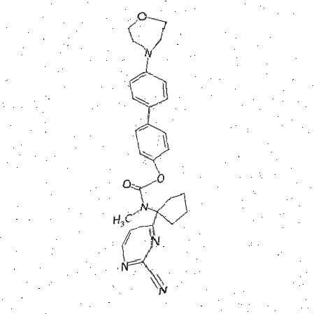 CN(C(=O)Oc1ccc(-c2ccc(N3CCOCC3)cc2)cc1)C1(c2ccnc(C#N)n2)CCCC1